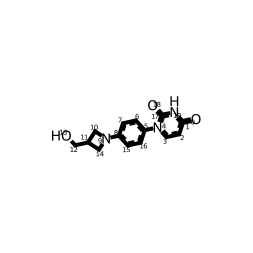 O=c1ccn(-c2ccc(N3CC(CO)C3)cc2)c(=O)[nH]1